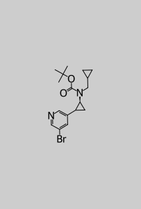 CC(C)(C)OC(=O)N(CC1CC1)[C@H]1CC1c1cncc(Br)c1